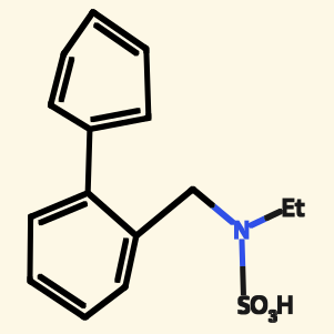 CCN(Cc1ccccc1-c1ccccc1)S(=O)(=O)O